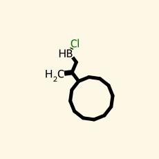 C=C(CBCl)C1CCCCCCCCCCC1